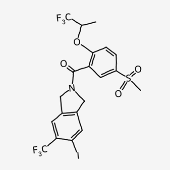 CC(Oc1ccc(S(C)(=O)=O)cc1C(=O)N1Cc2cc(I)c(C(F)(F)F)cc2C1)C(F)(F)F